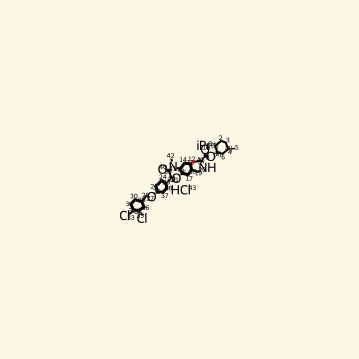 CC(C)[C@@H]1CC[C@@H](C)C[C@H]1OC(=O)[C@@H]1Cc2cc3c(cc2CN1)O[C@@H](c1ccc(OCc2ccc(Cl)c(Cl)c2)cc1)C(=O)N3C.Cl